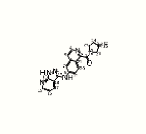 O=C(c1nccc2cc(Nc3n[nH]c4ncccc34)ccc12)N1CC[C@H](F)C1